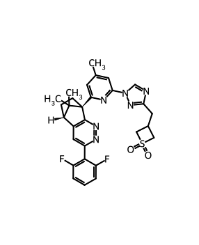 Cc1cc(-n2cnc(CC3CS(=O)(=O)C3)n2)nc([C@@]23CC[C@@H](c4cc(-c5c(F)cccc5F)nnc42)C3(C)C)c1